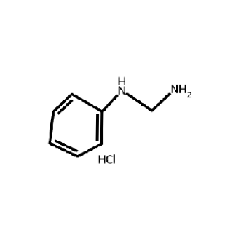 Cl.NCNc1ccccc1